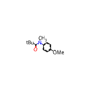 COc1ccc(N(C)C(=O)C(C)(C)C)cc1